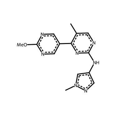 COc1ncc(-c2nc(Nc3cnn(C)c3)ncc2C)cn1